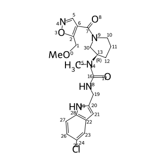 COCc1oncc1C(=O)N1CCC[C@@H](N(C)C(=O)NCc2cc3cc(Cl)ccc3[nH]2)C1